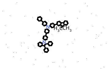 CC1(C)c2ccccc2-c2ccc(-c3ccc(N(c4ccc(-c5ccccc5)cc4)c4ccc(-c5ccc(-n6c(-c7ccccc7)c(-c7ccccc7)c7ccccc76)cc5)cc4)cc3)cc21